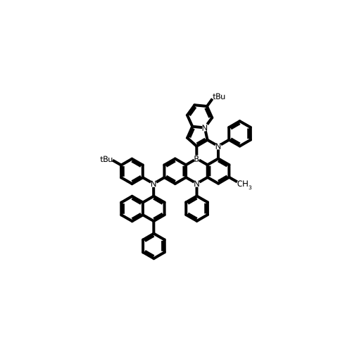 Cc1cc2c3c(c1)N(c1ccccc1)c1c(cc4ccc(C(C)(C)C)cn14)B3c1ccc(N(c3ccc(C(C)(C)C)cc3)c3ccc(-c4ccccc4)c4ccccc34)cc1N2c1ccccc1